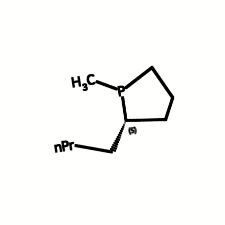 CCCC[C@H]1CCCP1C